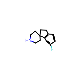 Fc1ccc2c(c1)C1(CCNCC1)CC2